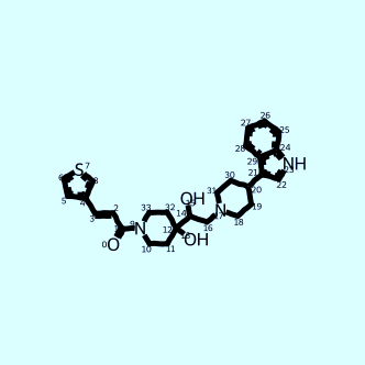 O=C(C=Cc1ccsc1)N1CCC(O)(C(O)CN2CCC(c3c[nH]c4ccccc34)CC2)CC1